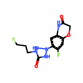 O=C1COc2cc(F)c(N3NC(=O)N(CCCF)N3)cc2N1